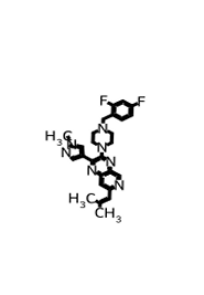 CC(C)=Cc1cc2nc(-c3cnn(C)c3)c(N3CCN(Cc4ccc(F)cc4F)CC3)nc2cn1